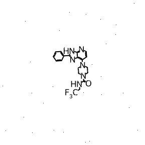 O=C(NCC(F)(F)F)N1CCN(c2ccnc3[nH]c(-c4ccccc4)nc23)CC1